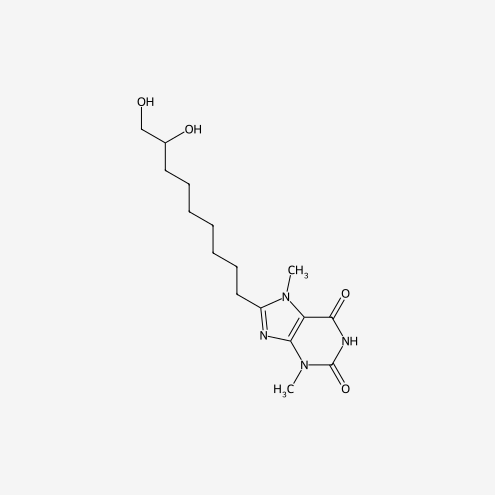 Cn1c(CCCCCCCC(O)CO)nc2c1c(=O)[nH]c(=O)n2C